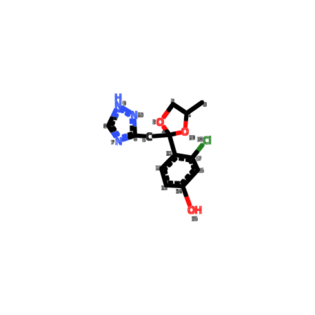 CC1COC(Cc2nc[nH]n2)(c2ccc(O)cc2Cl)O1